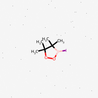 CC1(C)OOB(I)C1(C)C